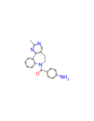 Cc1ncc2c(n1)-c1ccccc1N(C(=O)c1ccc(N)cc1)CC2